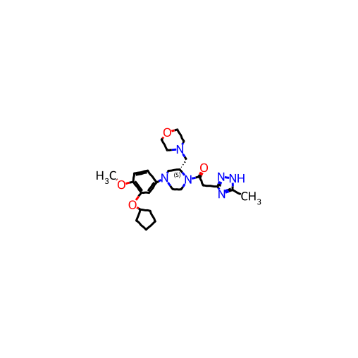 COc1ccc(N2CCN(C(=O)Cc3n[nH]c(C)n3)[C@@H](CN3CCOCC3)C2)cc1OC1CCCC1